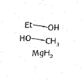 CCO.CO.[MgH2]